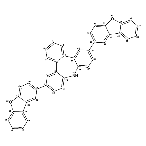 c1ccc2c(c1)-c1cc(-c3ccc4oc5ccccc5c4c3)ccc1Nc1ccc(-c3ccc4oc5ccccc5c4c3)cc1-2